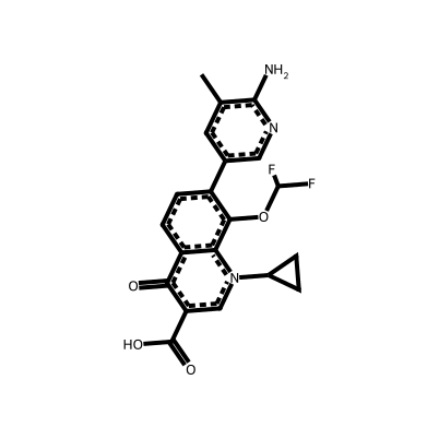 Cc1cc(-c2ccc3c(=O)c(C(=O)O)cn(C4CC4)c3c2OC(F)F)cnc1N